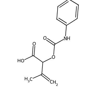 C=C(C)C(OC(=O)Nc1ccccc1)C(=O)O